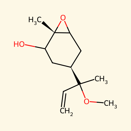 C=CC(C)(OC)[C@H]1CC(O)[C@]2(C)OC2C1